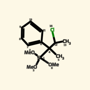 CO[Si](OC)(OC)C(C)(c1ccccc1)C(C)Cl